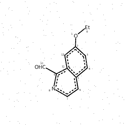 CCOc1ccc2ccnc(C=O)c2c1